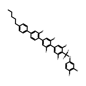 CCCCCc1ccc(-c2ccc(-c3cc(F)c(-c4cc(F)c(C(F)(F)Oc5ccc(F)c(F)c5)c(F)c4)c(F)c3)c(F)c2)cc1